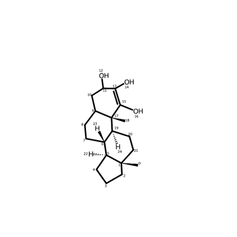 C[C@@]12CCC[C@H]1[C@@H]1CCC3CC(O)C(O)=C(O)[C@]3(C)[C@H]1CC2